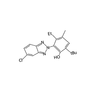 CCc1c(C)cc(C(C)(C)C)c(O)c1-n1nc2ccc(Cl)cc2n1